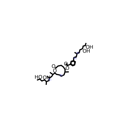 CC(/C=C/c1cccc(C(=O)OC2CCCC(=O)OC(C(C)C/C(C)=C/C(C)C(O)CC(C)O)C/C=C/CC2C)c1)=C\CC(O)CC(C)O